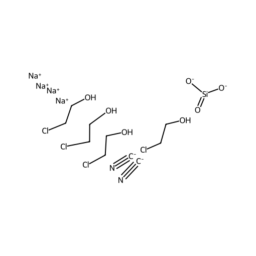 O=[Si]([O-])[O-].OCCCl.OCCCl.OCCCl.OCCCl.[C-]#N.[C-]#N.[Na+].[Na+].[Na+].[Na+]